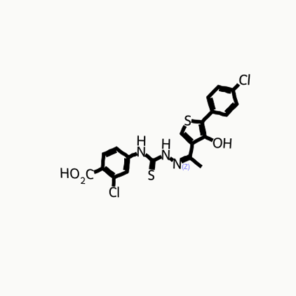 C/C(=N/NC(=S)Nc1ccc(C(=O)O)c(Cl)c1)c1csc(-c2ccc(Cl)cc2)c1O